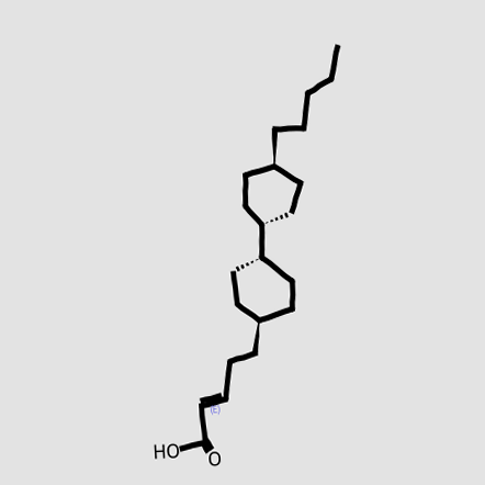 CCCCC[C@H]1CC[C@H]([C@H]2CC[C@H](CC/C=C/C(=O)O)CC2)CC1